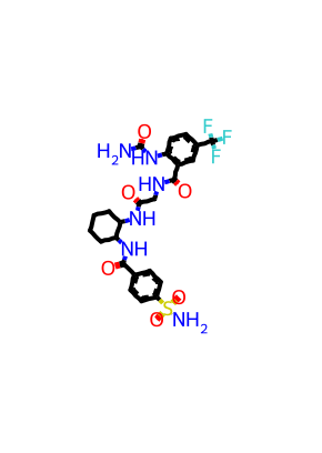 NC(=O)Nc1ccc(C(F)(F)F)cc1C(=O)NCC(=O)NC1CCCCC1NC(=O)c1ccc(S(N)(=O)=O)cc1